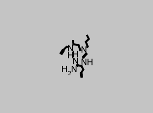 C#CCNC(C)CCN(/C=C/NC(CC=C)C(=N)N)CCCC